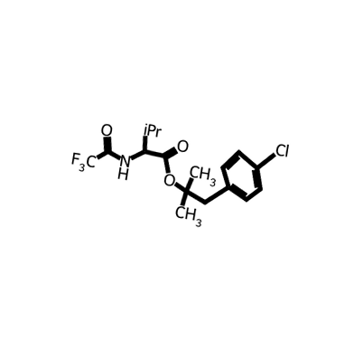 CC(C)C(NC(=O)C(F)(F)F)C(=O)OC(C)(C)Cc1ccc(Cl)cc1